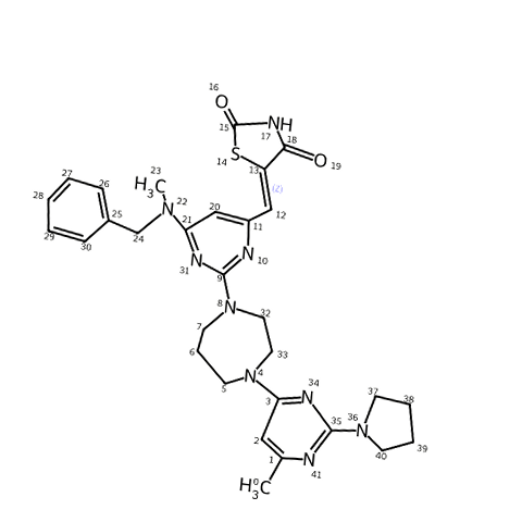 Cc1cc(N2CCCN(c3nc(/C=C4\SC(=O)NC4=O)cc(N(C)Cc4ccccc4)n3)CC2)nc(N2CCCC2)n1